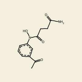 CC(=O)c1cccc(N(O)C(=O)CCC(N)=O)c1